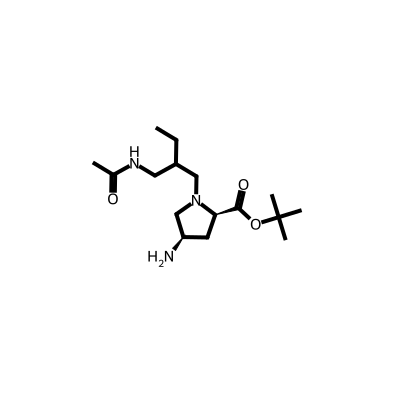 CCC(CNC(C)=O)CN1C[C@H](N)C[C@@H]1C(=O)OC(C)(C)C